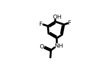 CC(=O)Nc1cc(F)c(O)c(F)c1